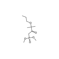 CCCOC(C)(C)C(=O)CP(=O)(OC)OC